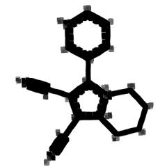 N#Cc1c(C#N)c(-c2cccnc2)n2c1CCCC2